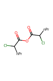 CCCC(Cl)C(=O)OC(=O)C(Cl)CCC